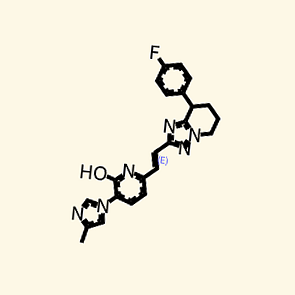 Cc1cn(-c2ccc(/C=C/c3nc4n(n3)CCCC4c3ccc(F)cc3)nc2O)cn1